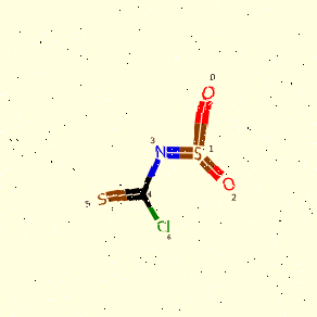 O=S(=O)=NC(=S)Cl